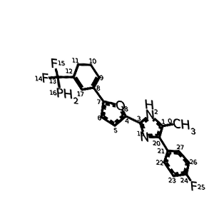 Cc1[nH]c(-c2ccc(C3=CCCC(C(F)(F)P)=C3)o2)nc1-c1ccc(F)cc1